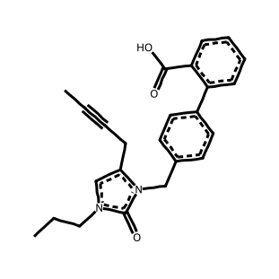 CC#CCc1cn(CCC)c(=O)n1Cc1ccc(-c2ccccc2C(=O)O)cc1